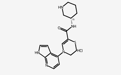 Cl.O=C(N[C@H]1CCCNC1)C1=CN(c2ccnc3[nH]ccc23)CCS1